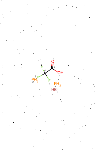 Br.O=C(O)C(F)(F)F.P.P